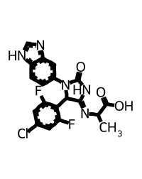 CC(/N=C1\NC(=O)N(c2ccc3[nH]cnc3c2)C1c1c(F)cc(Cl)cc1F)C(=O)O